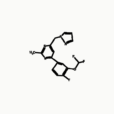 Cc1nc(Cn2cccn2)cc(-c2ccc(F)c(OC(F)F)c2)n1